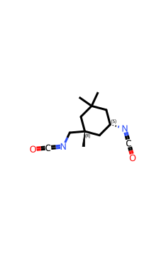 CC1(C)C[C@H](N=C=O)C[C@](C)(CN=C=O)C1